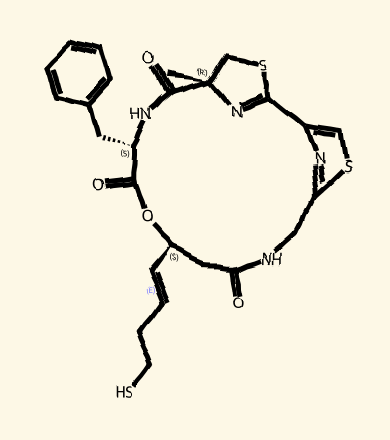 C[C@@]12CSC(=N1)c1csc(n1)CNC(=O)C[C@@H](/C=C/CCS)OC(=O)[C@H](Cc1ccccc1)NC2=O